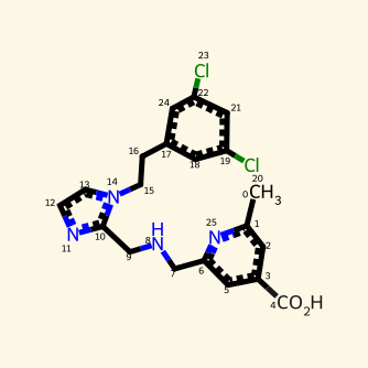 Cc1cc(C(=O)O)cc(CNCc2nccn2CCc2cc(Cl)cc(Cl)c2)n1